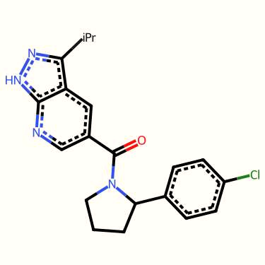 CC(C)c1n[nH]c2ncc(C(=O)N3CCCC3c3ccc(Cl)cc3)cc12